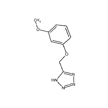 COc1cc[c]c(OCc2nnn[nH]2)c1